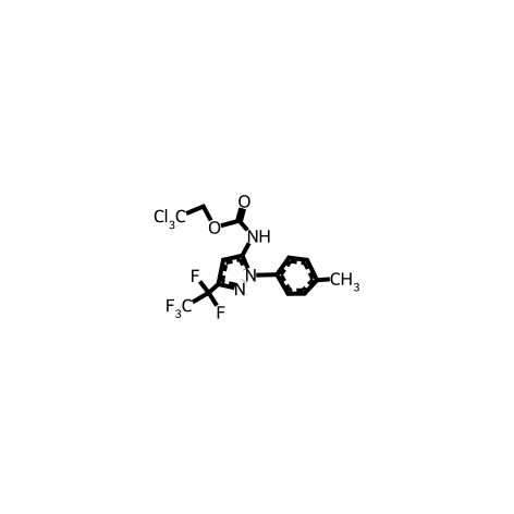 Cc1ccc(-n2nc(C(F)(F)C(F)(F)F)cc2NC(=O)OCC(Cl)(Cl)Cl)cc1